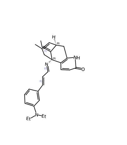 C/C=C1\[C@H]2C=C(C)C[C@]1(/N=C/C=C/c1cccc(N(CC)CC)c1)c1ccc(=O)[nH]c1C2